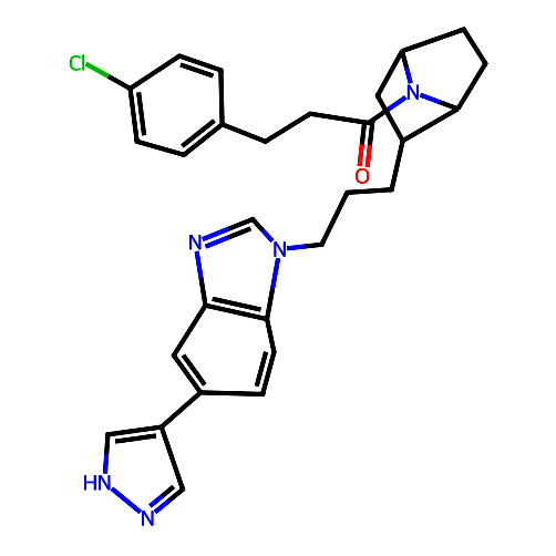 O=C(CCc1ccc(Cl)cc1)N1C2CCC1C(CCCn1cnc3cc(-c4cn[nH]c4)ccc31)C2